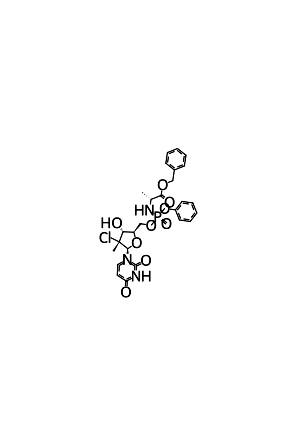 C[C@@H](NP(=O)(OC[C@H]1O[C@@H](n2ccc(=O)[nH]c2=O)[C@](C)(Cl)[C@@H]1O)Oc1ccccc1)C(=O)OCc1ccccc1